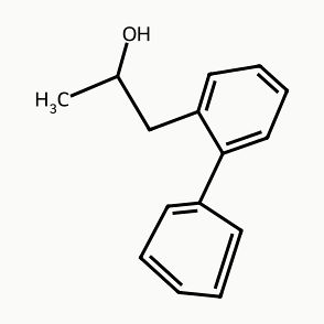 CC(O)Cc1ccccc1-c1ccccc1